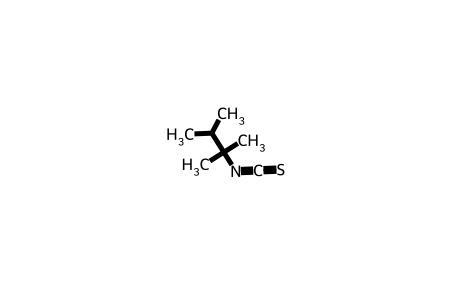 CC(C)C(C)(C)N=C=S